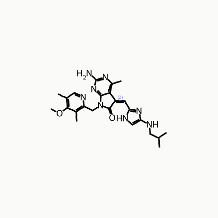 COc1c(C)cnc(CN2C(=O)/C(=C\c3nc(NCC(C)C)c[nH]3)c3c(C)nc(N)nc32)c1C